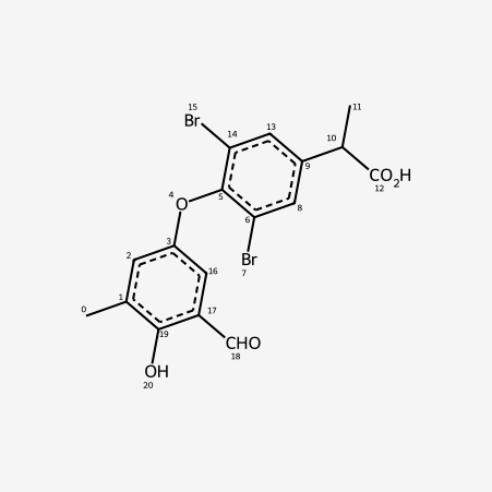 Cc1cc(Oc2c(Br)cc(C(C)C(=O)O)cc2Br)cc(C=O)c1O